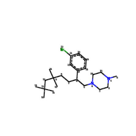 CN1CCN(CC(CCC(C)(C)CC(C)(C)C)c2cccc(Br)c2)CC1